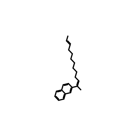 C/C=C/CCCCCCC/C=C(/C)c1ccc2ccccc2c1